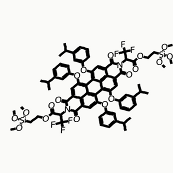 CO[Si](CCOC(=O)C(N1C(=O)c2cc(Oc3cccc(C(C)C)c3)c3c4c(Oc5cccc(C(C)C)c5)cc5c6c(cc(Oc7cccc(C(C)C)c7)c(c7c(Oc8cccc(C(C)C)c8)cc(c2c37)C1=O)c64)C(=O)N(C(C(=O)OCC[Si](OC)(OC)OC)C(F)(F)F)C5=O)C(F)(F)F)(OC)OC